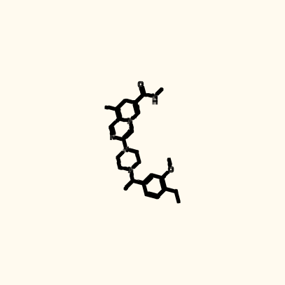 CCc1ccc(C(C)N2CCN(C3=CN4C=C(C(=O)NC)CC(C)=C4C=N3)CC2)cc1OC